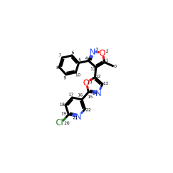 Cc1onc(-c2ccccc2)c1-c1cnc(-c2ccc(Cl)nc2)o1